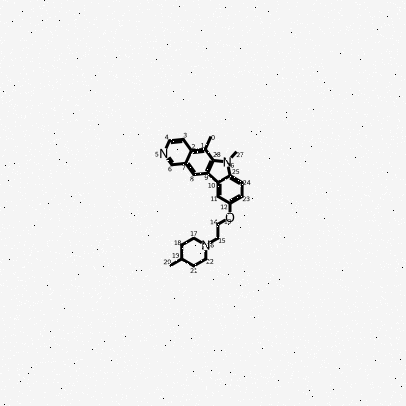 Cc1c2ccncc2cc2c3cc(OCCN4CCC(C)CC4)ccc3n(C)c12